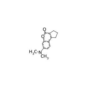 CN(C)c1ccc2c3c(c(=O)oc2c1)CCC3